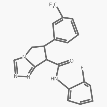 O=C(Nc1ccccc1F)C1c2nncn2CC1c1cccc(C(F)(F)F)c1